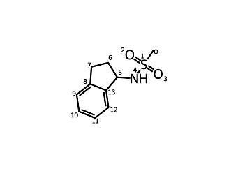 CS(=O)(=O)NC1CCc2ccccc21